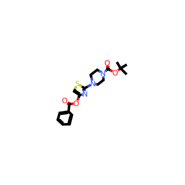 CC(C)(C)OC(=O)N1CCN(c2nc(OC(=O)c3ccccc3)cs2)CC1